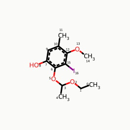 CCOC(C)Oc1c(O)cc(C)c(OC)c1I